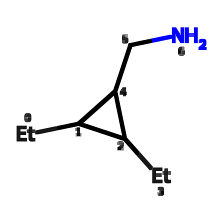 CCC1C(CC)C1CN